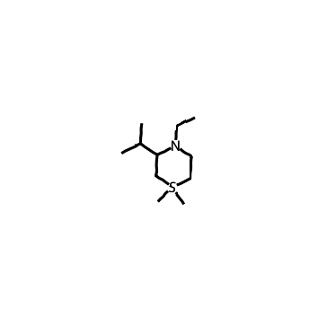 CCN1CCS(C)(C)CC1C(C)C